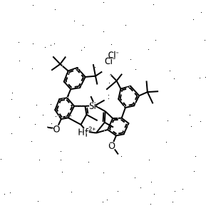 COc1ccc(-c2cc(C(C)(C)C)cc(C(C)(C)C)c2)c2c1[CH]1[Hf+2][CH]3C(C)=C(c4c(-c5cc(C(C)(C)C)cc(C(C)(C)C)c5)ccc(OC)c43)[Si](C)(C)C2=C1C.[Cl-].[Cl-]